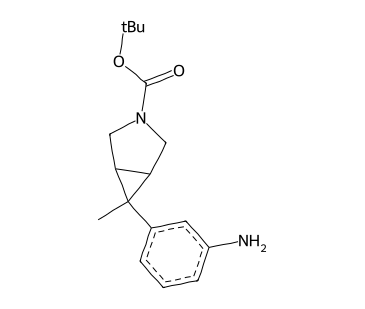 CC(C)(C)OC(=O)N1CC2C(C1)C2(C)c1cccc(N)c1